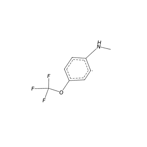 CNc1[c]cc(OC(F)(F)F)cc1